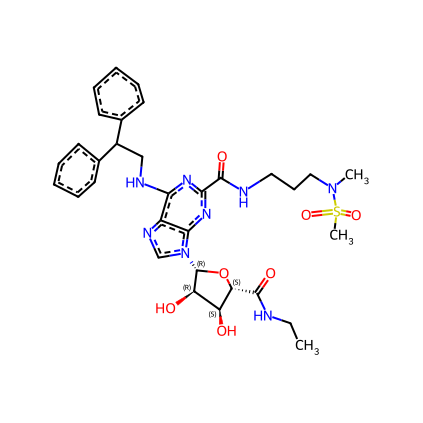 CCNC(=O)[C@H]1O[C@@H](n2cnc3c(NCC(c4ccccc4)c4ccccc4)nc(C(=O)NCCCN(C)S(C)(=O)=O)nc32)[C@H](O)[C@@H]1O